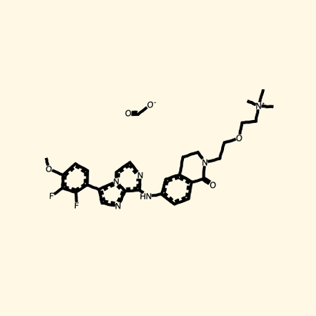 COc1ccc(-c2cnc3c(Nc4ccc5c(c4)CCN(CCOCC[N+](C)(C)C)C5=O)nccn23)c(F)c1F.O=C[O-]